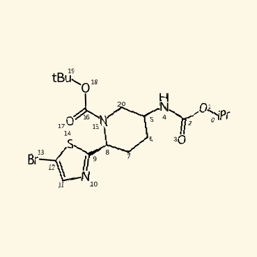 CC(C)OC(=O)NC1CC[C@@H](c2ncc(Br)s2)N(C(=O)OC(C)(C)C)C1